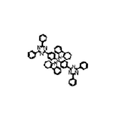 c1ccc(-c2nc(-c3ccccc3)nc(-c3ccc([Si](c4ccc(-c5nc(-c6ccccc6)nc(-c6ccccc6)n5)cc4)(n4c5c(c6ccccc64)CCCC5)n4c5c(c6ccccc64)CCCC5)cc3)n2)cc1